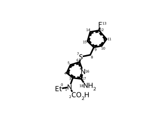 CCN(C(=O)O)c1ccc(SCc2ccc(F)cc2)nc1N